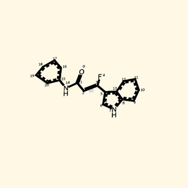 O=C(/C=C(\F)c1c[nH]c2ccccc12)Nc1ccccc1